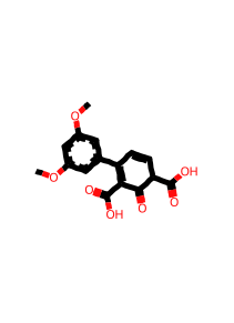 COc1cc(OC)cc(C2=C(C(=O)O)C(=O)C(C(=O)O)C=C2)c1